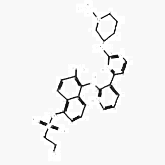 Cc1ccc2c(NS(=O)(=O)CCC(F)(F)F)cccc2c1Oc1ncccc1-c1ccnc(N[C@H]2CCCN(C(=O)O)C2)n1